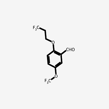 O=Cc1cc(OC(F)(F)F)ccc1OCCC(F)(F)F